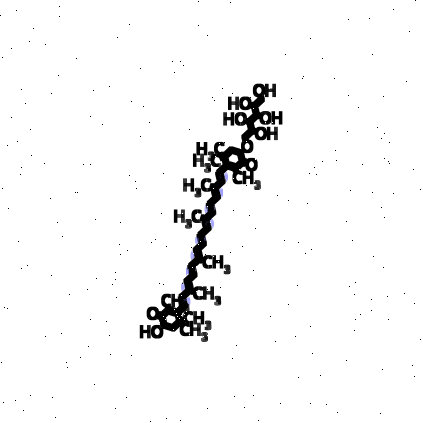 CC1=C(/C=C/C(C)=C/C=C/C(C)=C/C=C/C=C(C)/C=C/C=C(C)/C=C/C2=C(C)C(=O)C(OCC(O)C(O)C(O)C(O)CO)CC2(C)C)C(C)(C)CC(O)C1=O